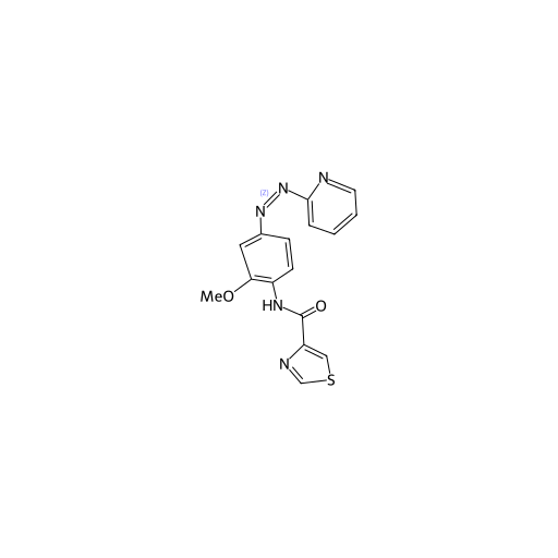 COc1cc(/N=N\c2ccccn2)ccc1NC(=O)c1cscn1